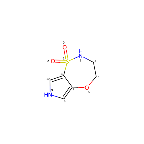 O=S1(=O)NCCOc2c[nH]cc21